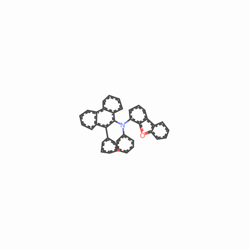 c1ccc(-c2c(N(c3ccccc3)c3cccc4c3oc3ccccc34)c3ccccc3c3ccccc23)cc1